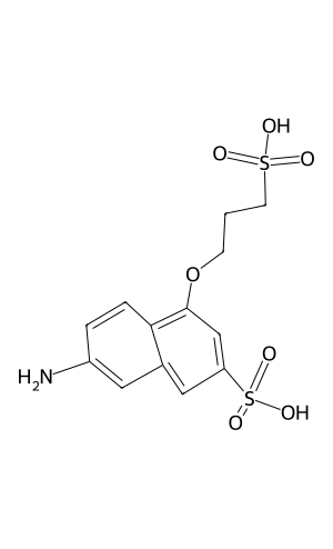 Nc1ccc2c(OCCCS(=O)(=O)O)cc(S(=O)(=O)O)cc2c1